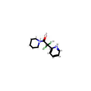 O=C(N1CCCCC1)C(F)(F)c1ccccn1